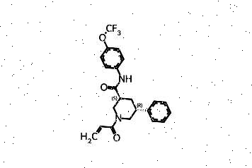 C=CC(=O)N1C[C@@H](C(=O)Nc2ccc(OC(F)(F)F)cc2)C[C@H](c2ccccc2)C1